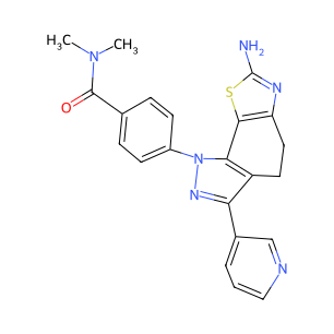 CN(C)C(=O)c1ccc(-n2nc(-c3cccnc3)c3c2-c2sc(N)nc2CC3)cc1